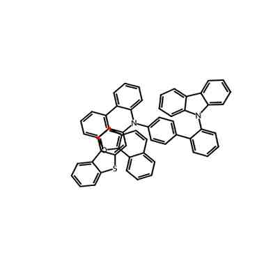 c1ccc(N(c2ccc(-c3ccccc3-n3c4ccccc4c4ccccc43)cc2)c2ccc3c(c2)sc2ccccc23)c(-c2cccc3oc4c5ccccc5ccc4c23)c1